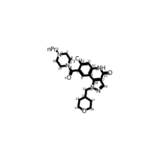 CCCN1CCN(C(=O)c2cc3c(cc2C)[nH]c(=O)c2cnn(CC4CCOCC4)c23)CC1